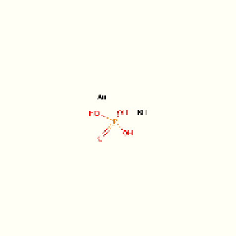 O=P(O)(O)O.[Au].[KH]